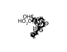 O=C[C@H](CC(=O)O)NC(=O)[C@@H]1CCCN2C(=O)CCN(NC(=O)C3=CC4C=CSC4S3)C(=O)N12